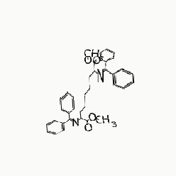 COC(=O)C(CCCCCC(N=C(c1ccccc1)c1ccccc1)C(=O)OC)N=C(c1ccccc1)c1ccccc1